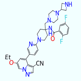 CCOc1cc(-c2ccc(N3CCC(CN4CCN(C5CNC5)CC4)(NC(=O)c4cc(F)ccc4F)CC3)nc2)c2c(C#N)cnn2c1